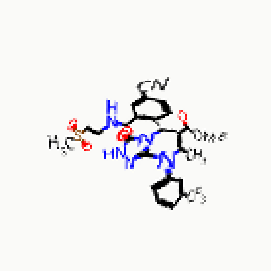 COC(=O)C1=C(C)N(c2cccc(C(F)(F)F)c2)c2n[nH]c(=O)n2[C@@H]1c1ccc(C#N)cc1C(=O)NCCS(C)(=O)=O